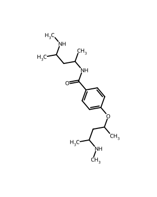 CNC(C)CC(C)NC(=O)c1ccc(OC(C)CC(C)NC)cc1